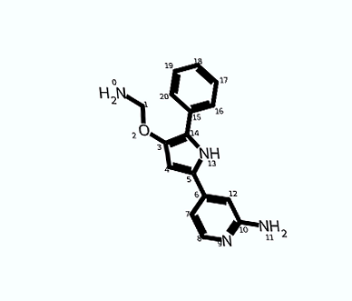 NCOc1cc(-c2ccnc(N)c2)[nH]c1-c1ccccc1